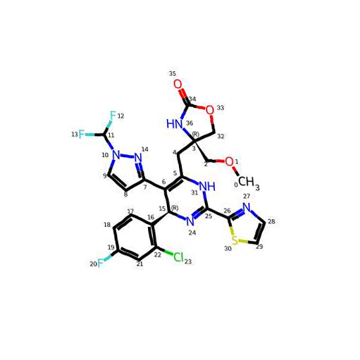 COC[C@]1(CC2=C(c3ccn(C(F)F)n3)[C@H](c3ccc(F)cc3Cl)N=C(c3nccs3)N2)COC(=O)N1